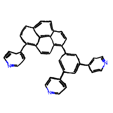 c1cc(-c2cc(-c3ccncc3)cc(-c3ccc4ccc5ccc(-c6ccncc6)c6ccc3c4c56)c2)ccn1